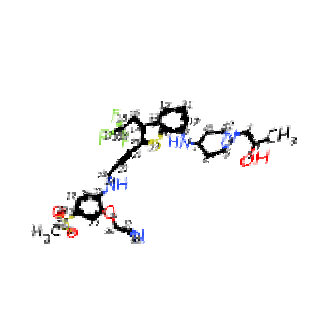 CC(O)CN1CCC(Nc2cccc3c(CC(F)(F)F)c(C#CCNc4ccc(S(C)(=O)=O)cc4OCC#N)sc23)CC1